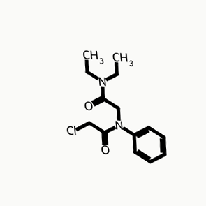 CCN(CC)C(=O)CN(C(=O)CCl)c1ccccc1